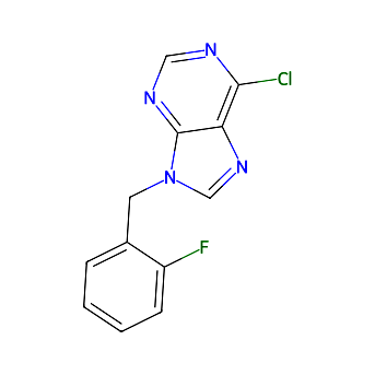 Fc1ccccc1Cn1cnc2c(Cl)ncnc21